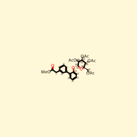 COC(=O)Cc1cccc(-c2ccccc2O[C@H]2O[C@H](COC(C)=O)[C@@H](OC(C)=O)[C@H](OC(C)=O)[C@@H]2OC(C)=O)c1